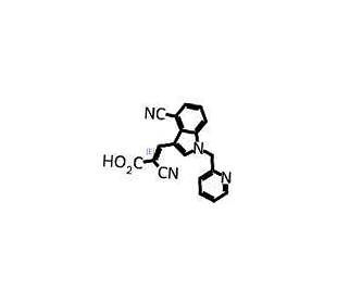 N#C/C(=C\c1cn(Cc2ccccn2)c2cccc(C#N)c12)C(=O)O